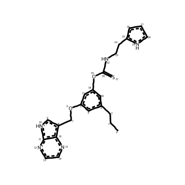 CCCc1cc(OCc2c[nH]c3nccnc23)cc(OC(=S)NCCc2ccc[nH]2)c1